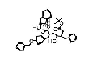 CC(C)(C)OC(=O)CC(Cc1ccccc1)C(O)CC(Cc1ccc(OCc2ccccc2)cc1)C(=O)N[C@H]1c2ccccc2C[C@@H]1O